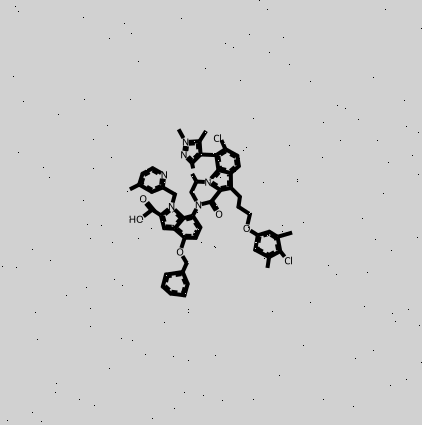 Cc1ccnc(Cn2c(C(=O)O)cc3c(OCc4ccccc4)ccc(N4CC(C)n5c(c(CCCOc6cc(C)c(Cl)c(C)c6)c6ccc(Cl)c(-c7c(C)nn(C)c7C)c65)C4=O)c32)c1